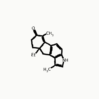 CCC12CCC(=O)C(C)=C1c1ccc3[nH]cc(C)c3c1C2